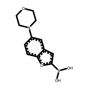 OB(O)c1cc2cc(N3CCOCC3)ccc2o1